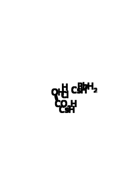 Cl.O=C(O)O.[CsH].[CsH].[PbH2]